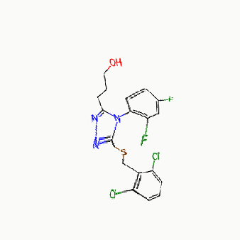 OCCCc1nnc(SCc2c(Cl)cccc2Cl)n1-c1ccc(F)cc1F